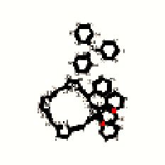 C1=Cc2cc3c(-c4ccccc4)c(-c4ccccc4)c(c(-c4ccccc4)c4nc(cc5ccc(cc1n2)[nH]5)C=C4)n3-c1ccccc1.c1ccc(P(c2ccccc2)c2ccccc2)cc1